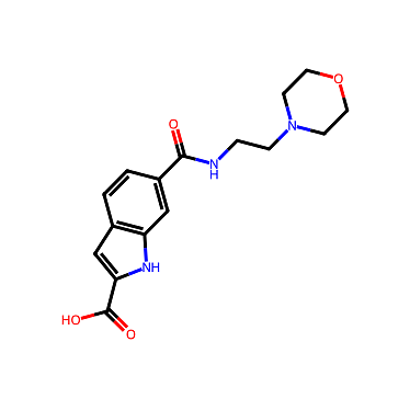 O=C(NCCN1CCOCC1)c1ccc2cc(C(=O)O)[nH]c2c1